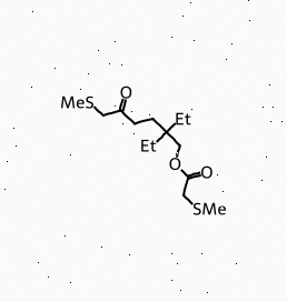 CCC(CC)(CCC(=O)CSC)COC(=O)CSC